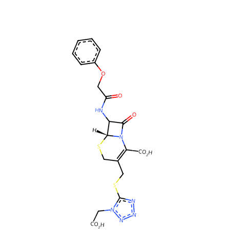 O=C(O)Cn1nnnc1SCC1=C(C(=O)O)N2C(=O)C(NC(=O)COc3ccccc3)[C@H]2SC1